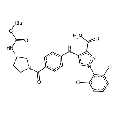 CC(C)(C)OC(=O)N[C@H]1CCN(C(=O)c2ccc(Nc3cn(-c4c(Cl)cccc4Cl)nc3C(N)=O)cc2)C1